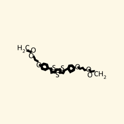 C=CC(=O)OCCCOc1ccc(-c2cc3sc4cc(-c5ccc(OCCCOC(=O)C=C)cc5)sc4c3s2)cc1